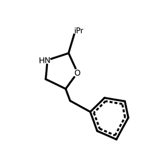 CC(C)C1NCC(Cc2ccccc2)O1